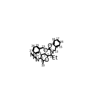 CCC(C1CCC(N=[N+]=[N-])C(C)O1)N(Cc1ccccc1)C(=O)OCc1ccccc1